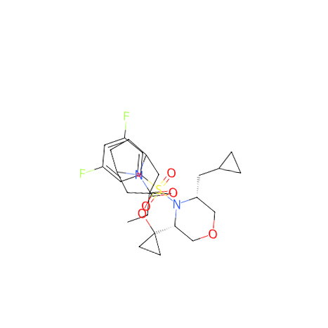 CCC1(C)CC2CCC(C1)N2C(=O)OC1([C@H]2COC[C@@H](CC3CC3)N2S(=O)(=O)c2cc(F)cc(F)c2)CC1